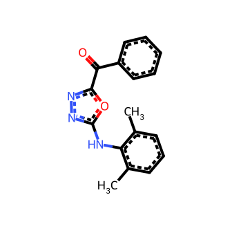 Cc1cccc(C)c1Nc1nnc(C(=O)c2ccccc2)o1